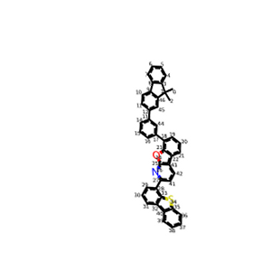 CC1(C)c2ccccc2-c2ccc(-c3cccc(-c4cccc5c4oc4nc(-c6cccc7c6sc6ccccc67)ccc45)c3)cc21